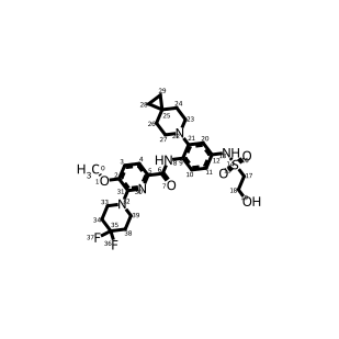 COc1ccc(C(=O)Nc2ccc(NS(=O)(=O)CCO)cc2N2CCC3(CC2)CC3)nc1N1CCC(F)(F)CC1